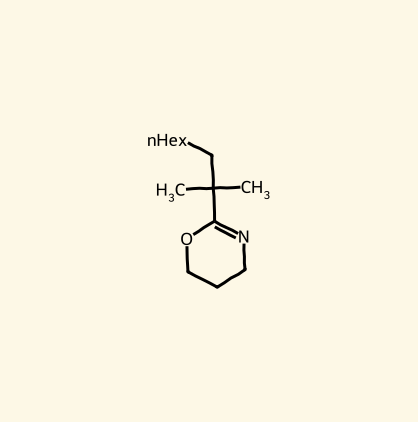 CCCCCCCC(C)(C)C1=NCCCO1